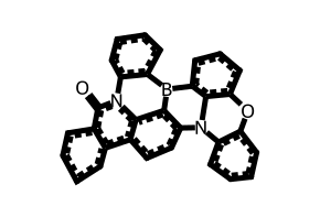 O=c1c2ccccc2c2ccc3c4c2n1-c1ccccc1B4c1cccc2c1N3c1ccccc1O2